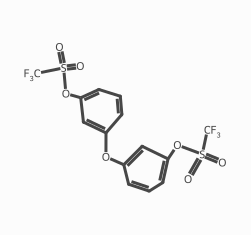 O=S(=O)(Oc1cccc(Oc2cccc(OS(=O)(=O)C(F)(F)F)c2)c1)C(F)(F)F